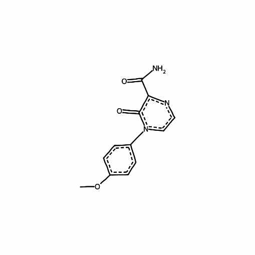 COc1ccc(-n2ccnc(C(N)=O)c2=O)cc1